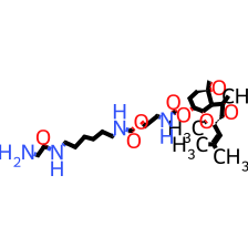 COC1C(OC(=O)NCCOC(=O)NCCCCCCNC(=O)CN)CC[C@]2(CO2)C1C1(C)O[C@@H]1CC=C(C)C